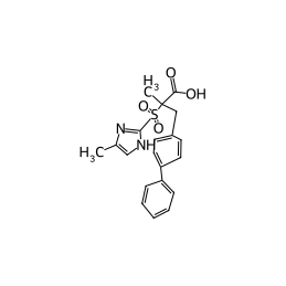 Cc1c[nH]c(S(=O)(=O)C(C)(Cc2ccc(-c3ccccc3)cc2)C(=O)O)n1